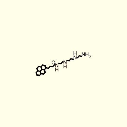 NCCCNCCCCNCCCNC(=O)CCCC1=CCC2CCC3CC=CC4=CC=C1C2C43